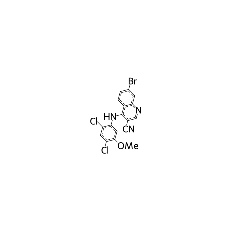 COc1cc(Nc2c(C#N)cnc3cc(Br)ccc23)c(Cl)cc1Cl